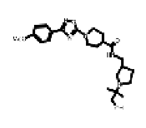 COc1ccc(-c2noc(N3CCC(C(=O)NCC4CCN(C(C)(C)CO)C4)CC3)n2)cc1